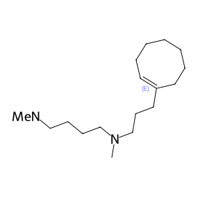 CNCCCCN(C)CCC/C1=C/CCCCCC1